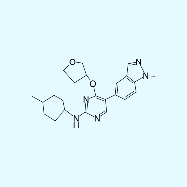 CC1CCC(Nc2ncc(-c3ccc4c(cnn4C)c3)c(OC3CCOC3)n2)CC1